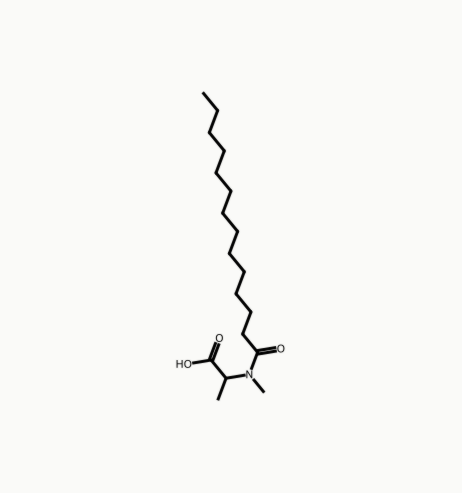 CCCCCCCCCCCCCC(=O)N(C)C(C)C(=O)O